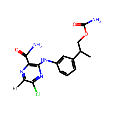 CCc1nc(C(N)=O)c(Nc2cccc(C(C)COC(N)=O)c2)nc1Cl